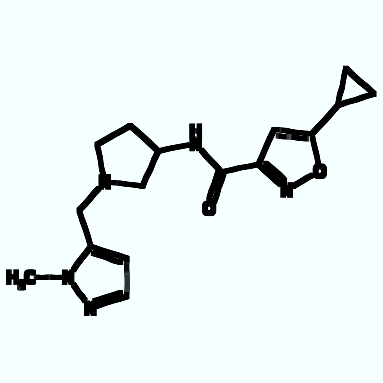 Cn1nccc1CN1CCC(NC(=O)c2cc(C3CC3)on2)C1